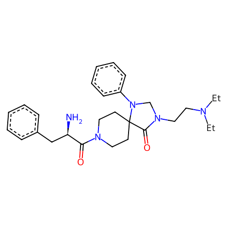 CCN(CC)CCN1CN(c2ccccc2)C2(CCN(C(=O)[C@H](N)Cc3ccccc3)CC2)C1=O